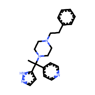 CC(c1ccncc1)(c1ccn[nH]1)N1CCN(CCc2ccccc2)CC1